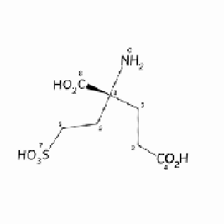 N[C@](CCC(=O)O)(CCS(=O)(=O)O)C(=O)O